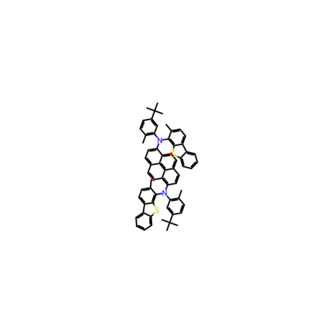 Cc1ccc(C(C)(C)C)cc1N(c1ccc2ccc3c(N(c4cc(C(C)(C)C)ccc4C)c4c(C)ccc5c4sc4ccccc45)ccc4ccc1c2c43)c1c(C)ccc2c1sc1ccccc12